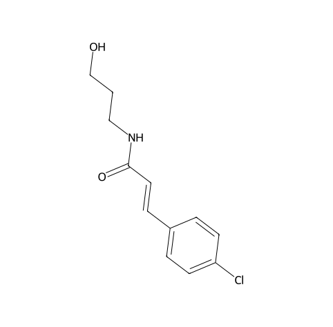 O=C(C=Cc1ccc(Cl)cc1)NCCCO